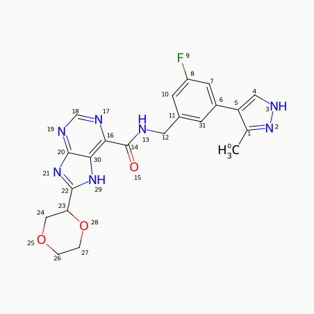 Cc1n[nH]cc1-c1cc(F)cc(CNC(=O)c2ncnc3nc(C4COCCO4)[nH]c23)c1